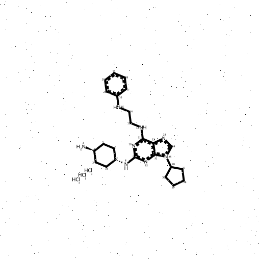 Cl.Cl.Cl.N[C@H]1CC[C@H](Nc2nc(NCCNc3ccccc3)c3ncn(C4CCCC4)c3n2)CC1